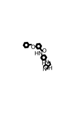 CN1C[C@@H]2CCN(c3ccc(NC(=O)c4cccc(OCc5ccccc5)c4)cc3)[C@@H]2C1